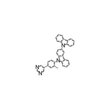 Cc1cc(-c2cncnc2)ccc1-n1c2ccccc2c2cc(-n3c4ccccc4c4ccccc43)ccc21